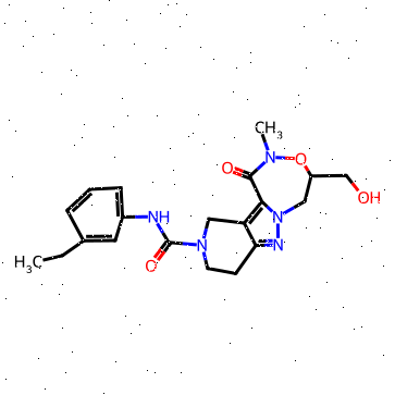 CCc1cccc(NC(=O)N2CCc3nn4c(c3C2)C(=O)N(C)OC(CO)C4)c1